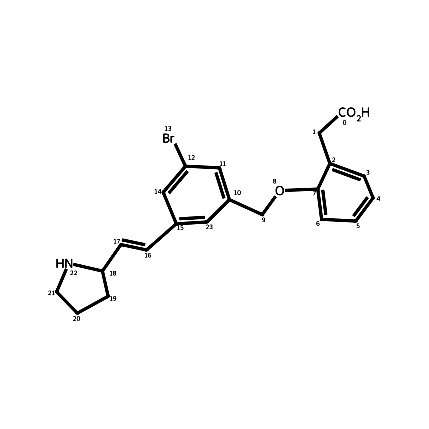 O=C(O)Cc1ccccc1OCc1cc(Br)cc(C=CC2CCCN2)c1